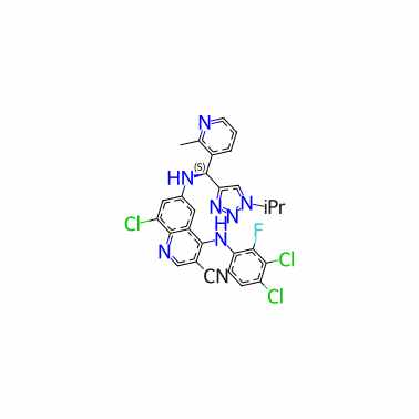 Cc1ncccc1[C@H](Nc1cc(Cl)c2ncc(C#N)c(Nc3ccc(Cl)c(Cl)c3F)c2c1)c1cn(C(C)C)nn1